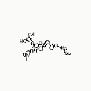 Cc1c(OCCCN2CCCC2C(C)(C)C)cccc1-c1cccc2c1CC[C@@H]2Oc1cc(OCc2cc(C#N)cc(C#N)c2)c(CN[C@H]2CCC(=O)NC2)cc1Cl